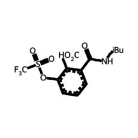 CCC(C)NC(=O)c1cccc(OS(=O)(=O)C(F)(F)F)c1C(=O)O